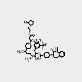 CC(CCN(C)C(=O)[C@@H](Cc1cc(Cl)c(N)c(C(F)(F)F)c1)OC(=O)N1CCC(N2CCc3ccccc3NC2=O)CC1)C1CCN(CCC(=O)OCCN2CCCC2=O)CC1